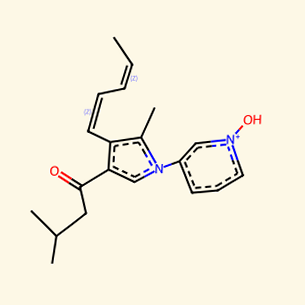 C/C=C\C=C/c1c(C(=O)CC(C)C)cn(-c2ccc[n+](O)c2)c1C